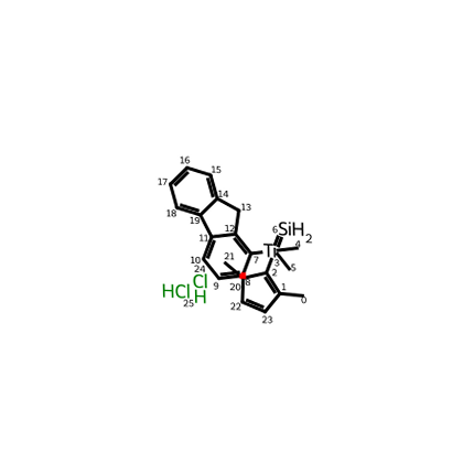 CC1=[C]([Ti]([CH3])([CH3])(=[SiH2])[c]2cccc3c2Cc2ccccc2-3)C(C)C=C1.Cl.Cl